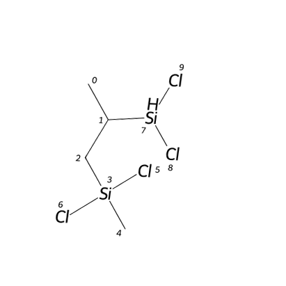 CC(C[Si](C)(Cl)Cl)[SiH](Cl)Cl